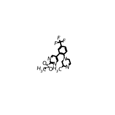 CC1CN(c2ccc(C(F)(F)F)cc2-c2cnc(S(C)(=O)=O)nc2)CC=N1